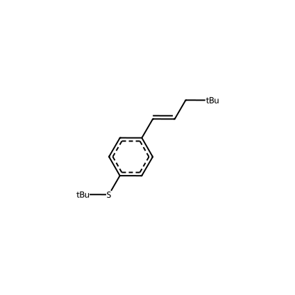 CC(C)(C)C/C=C/c1ccc(SC(C)(C)C)cc1